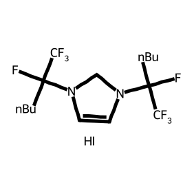 CCCCC(F)(N1C=CN(C(F)(CCCC)C(F)(F)F)C1)C(F)(F)F.I